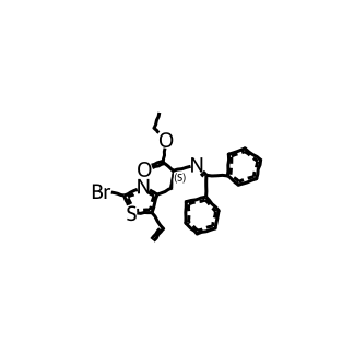 C=Cc1sc(Br)nc1C[C@H](N=C(c1ccccc1)c1ccccc1)C(=O)OCC